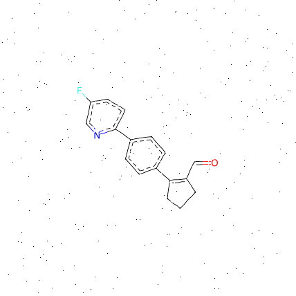 O=CC1=C(c2ccc(-c3ccc(F)cn3)cc2)CCC1